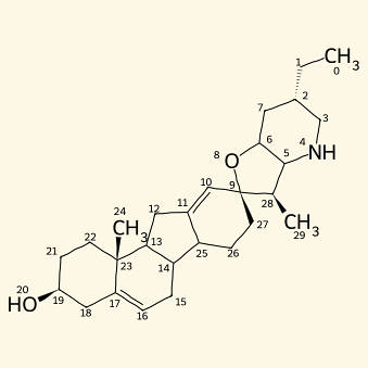 CC[C@@H]1CNC2C(C1)O[C@@]1(C=C3CC4C(CC=C5C[C@@H](O)CC[C@@]54C)C3CC1)[C@@H]2C